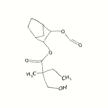 CCC(C)(CO)C(=O)OC1C2CCC(C2)C1OC=O